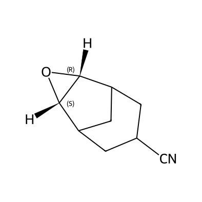 N#CC1CC2CC(C1)[C@@H]1O[C@H]21